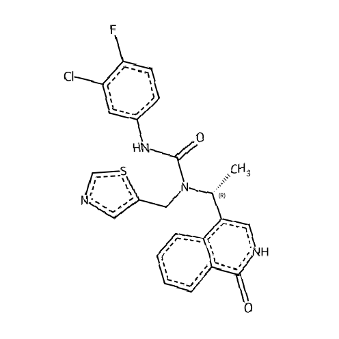 C[C@H](c1c[nH]c(=O)c2ccccc12)N(Cc1cncs1)C(=O)Nc1ccc(F)c(Cl)c1